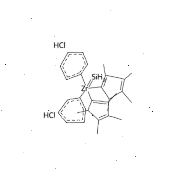 CC1=C(C)C(C)[C]([Zr](=[SiH2])([C]2=C(C)C(C)=C(C)C2C)([c]2ccccc2)[c]2ccccc2)=C1C.Cl.Cl